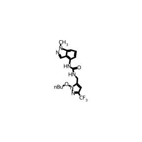 CCCCOn1nc(C(F)(F)F)cc1CNC(=O)Nc1cccc2c1cnn2C